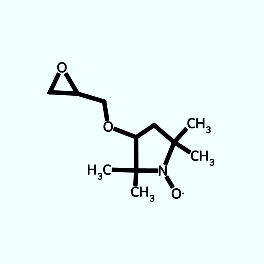 CC1(C)CC(OCC2CO2)C(C)(C)N1[O]